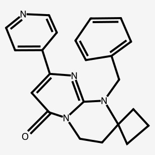 O=c1cc(-c2ccncc2)nc2n1CCC1(CCC1)N2Cc1ccccc1